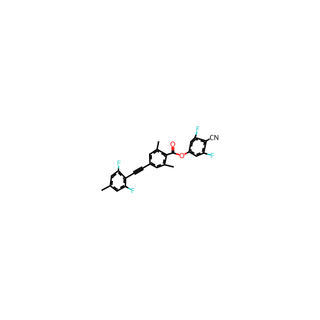 Cc1cc(F)c(C#Cc2cc(C)c(C(=O)Oc3cc(F)c(C#N)c(F)c3)c(C)c2)c(F)c1